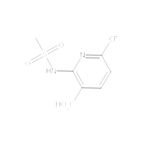 CS(=O)(=O)Nc1nc(C(F)(F)F)ccc1C(=O)O